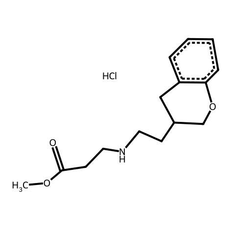 COC(=O)CCNCCC1COc2ccccc2C1.Cl